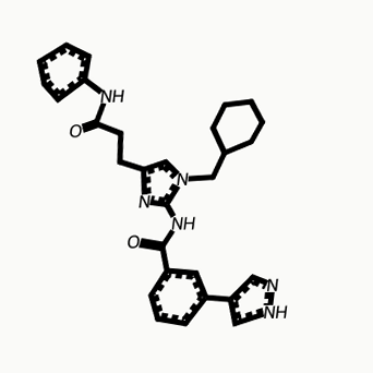 O=C(CCc1cn(CC2CCCCC2)c(NC(=O)c2cccc(-c3cn[nH]c3)c2)n1)Nc1ccccc1